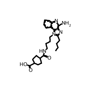 CCCCc1nc2c(N)nc3ccccc3c2n1CCCCNC(=O)C1CCC(C(=O)O)CC1